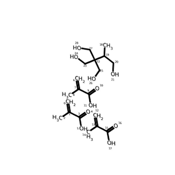 C=C(C)C(=O)O.C=C(C)C(=O)O.C=C(C)C(=O)O.CC(CO)C(CO)(CO)CO